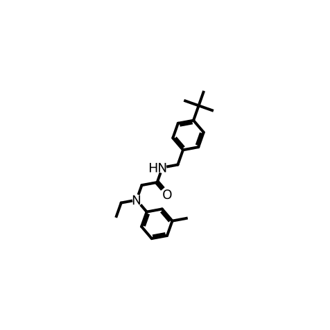 CCN(CC(=O)NCc1ccc(C(C)(C)C)cc1)c1cccc(C)c1